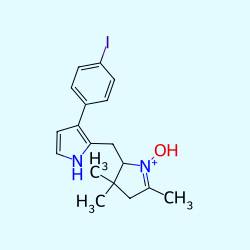 CC1=[N+](O)C(Cc2[nH]ccc2-c2ccc(I)cc2)C(C)(C)C1